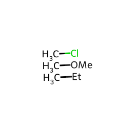 CCC.CCl.COC